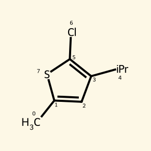 Cc1cc(C(C)C)c(Cl)s1